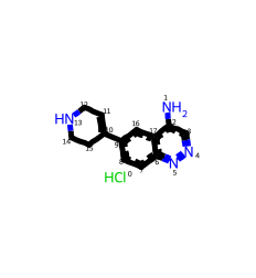 Cl.Nc1cnnc2ccc(C3=CCNCC3)cc12